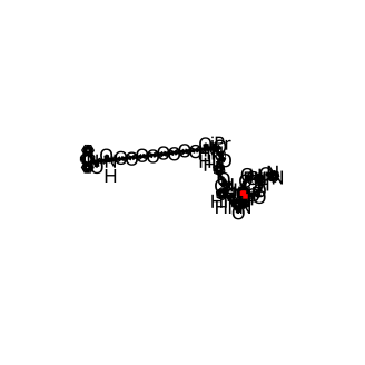 CC(C)[C@H](NC(=O)CCOCCOCCOCCOCCOCCOCCOCCOCCNC(=O)CCC(=O)N1Cc2ccccc2C#Cc2ccccc21)C(=O)N[C@@H](C)C(=O)Nc1ccc(COC(=O)N(C)Cc2ccccc2C(=O)Nc2nc3c(ncn3C3O[C@@H]4CO[PH](=O)O[C@H]5C[C@H](Oc6ccncn6)C[C@@H]5CO[PH](=O)O[C@@H]3[C@H]4O)c(=O)[nH]2)cc1